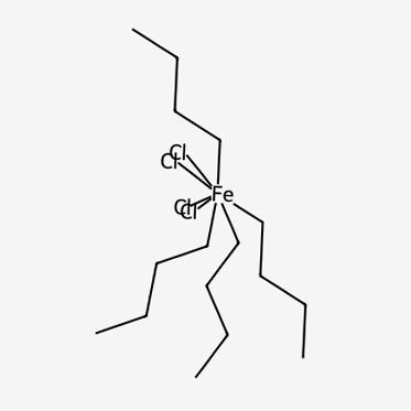 CCC[CH2][Fe]([Cl])([Cl])([Cl])([Cl])([CH2]CCC)([CH2]CCC)[CH2]CCC